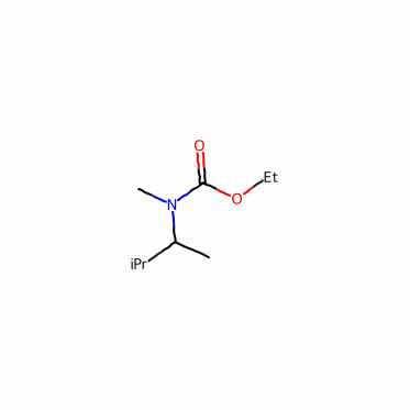 CCOC(=O)N(C)C(C)C(C)C